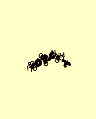 CCN(CC)CCOC(=O)Nc1cc(CN2C(=O)N(c3ccc(S(=O)(=O)C(F)(F)F)cc3)C(=O)C2(C)C)ccn1